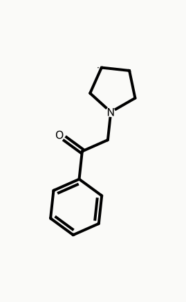 O=C(CN1C[CH]CC1)c1ccccc1